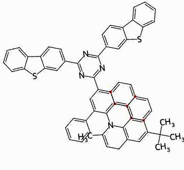 CC1=CCc2cc(C(C)(C)C)cc(-c3ccccc3)c2N1c1c(-c2ccccc2)cc(-c2nc(-c3ccc4c(c3)sc3ccccc34)nc(-c3ccc4c(c3)sc3ccccc34)n2)cc1-c1ccccc1